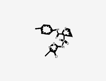 Cc1ccc(NC(=O)c2sccc2S(=O)(=O)Nc2onc(C)c2Cl)cc1